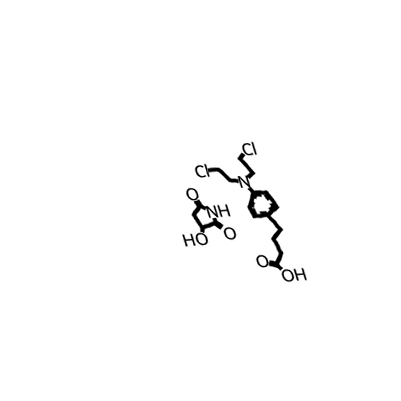 O=C(O)CCCc1ccc(N(CCCl)CCCl)cc1.O=C1CC(O)C(=O)N1